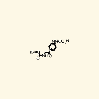 CC(C)(C)OC(=O)NCC(=O)N1CCC(NC(=O)O)CC1